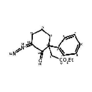 CCOC(=O)CC1(c2ccccc2)CCCC(=[N+]=[N-])C1=O